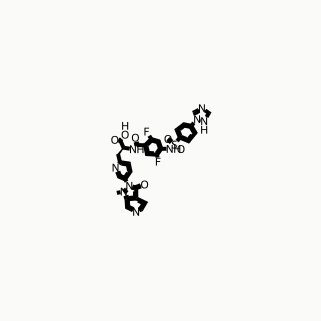 Cn1c2cnccc2c(=O)n1-c1ccc(C[C@H](NC(=O)c2cc(F)c(NS(=O)(=O)c3ccc(N4C=NCN4)cc3)cc2F)C(=O)O)nc1